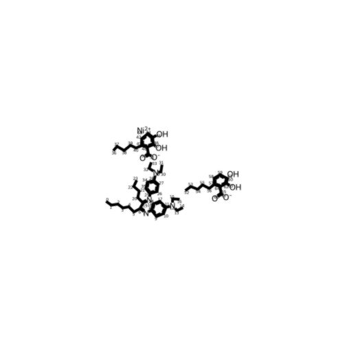 CCCCCCC(=Nc1ccc(N(CC)CC)cc1)C(CCCC)=Nc1ccc(N(CC)CC)cc1.CCCCCc1ccc(O)c(O)c1C(=O)[O-].CCCCCc1ccc(O)c(O)c1C(=O)[O-].[Ni+2]